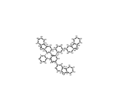 c1ccc(-c2nc(-c3ccc4oc5ccccc5c4c3)cc(-c3cc(-c4ccc5oc6ccccc6c5c4)ccc3-c3ccc4oc5ccccc5c4c3)n2)cc1